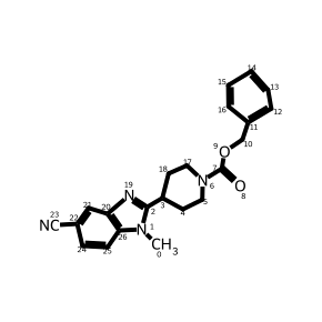 Cn1c(C2CCN(C(=O)OCc3ccccc3)CC2)nc2cc(C#N)ccc21